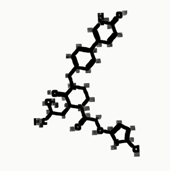 CC(C)C[C@H]1C(=O)N(Cc2ccc(-c3ccc(=O)[nH]c3)cc2)CCN1C(=O)COc1ccc(Cl)s1